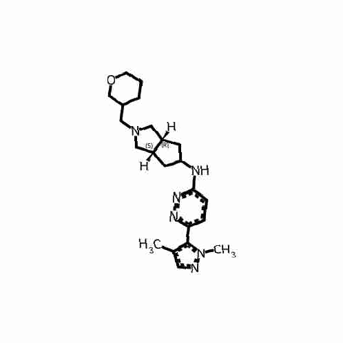 Cc1cnn(C)c1-c1ccc(NC2C[C@@H]3CN(CC4CCCOC4)C[C@@H]3C2)nn1